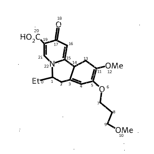 CCC1CC2=CC(OCCCOC)=C(OC)CC2c2cc(=O)c(C(=O)O)cn21